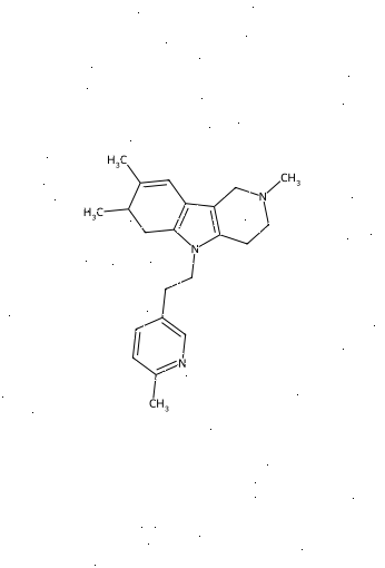 CC1=Cc2c3c(n(CCc4ccc(C)nc4)c2CC1C)CCN(C)C3